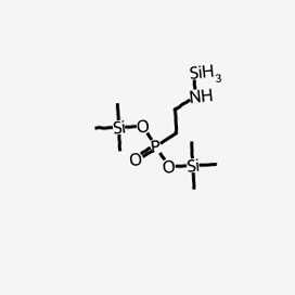 C[Si](C)(C)OP(=O)(CCN[SiH3])O[Si](C)(C)C